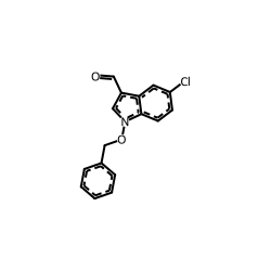 O=Cc1cn(OCc2ccccc2)c2ccc(Cl)cc12